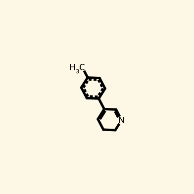 Cc1ccc(C2=CCCN=C2)cc1